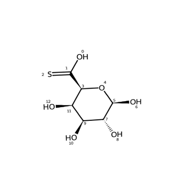 OC(=S)[C@H]1O[C@@H](O)[C@H](O)[C@@H](O)[C@H]1O